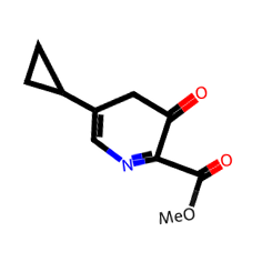 COC(=O)C1=NC=C(C2CC2)CC1=O